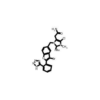 CCCCC1N(C)C(Cl)=C(CC(N)=O)N1Cc1ccc2oc(-c3ccccc3-c3nnn[nH]3)c(Br)c2c1